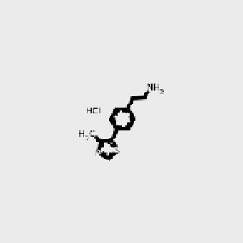 Cc1ncsc1-c1ccc(CCN)cc1.Cl